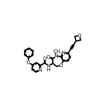 CN1C(=O)C(NC(=O)c2cc(Oc3ccccc3)ccn2)COc2ccc(C#CC3COC3)nc21